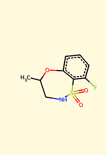 CC1CNS(=O)(=O)c2c(F)cccc2O1